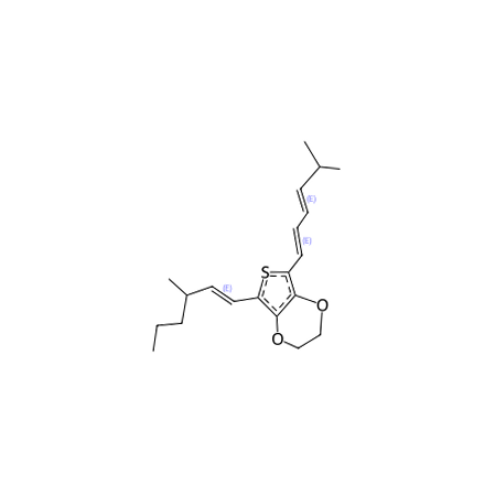 CCCC(C)/C=C/c1sc(/C=C/C=C/C(C)C)c2c1OCCO2